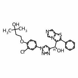 CC(C)(O)CCOc1ccc(-n2cc([C@H](O)c3c(-c4ccccc4)sc4cncn34)nn2)cc1Cl